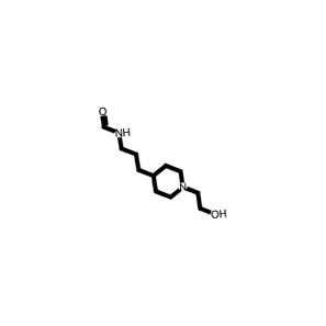 O=[C]NCCCC1CCN(CCO)CC1